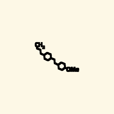 C=CCCC1CCC(CCC2CCC(OC)CC2)CC1